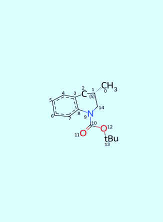 C[C@H]1Cc2ccccc2N(C(=O)OC(C)(C)C)C1